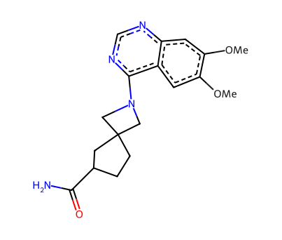 COc1cc2ncnc(N3CC4(CCC(C(N)=O)C4)C3)c2cc1OC